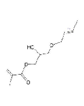 C=C(C)C(=O)OCC(O)COC/C=C/C